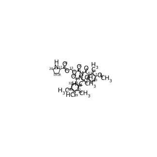 COc1cccc(C(=O)N(C(=O)OCOC(=O)C2CCCN2)N(C(=O)c2cc(C)cc(C)c2)C(C)(C)C)c1C.Cl